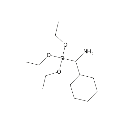 CCO[Si](OCC)(OCC)C(N)C1CCCCC1